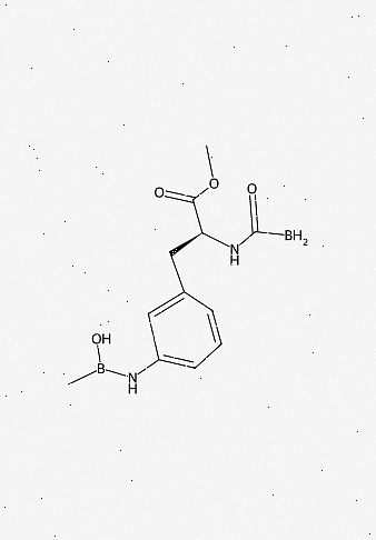 BC(=O)N[C@@H](Cc1cccc(NB(C)O)c1)C(=O)OC